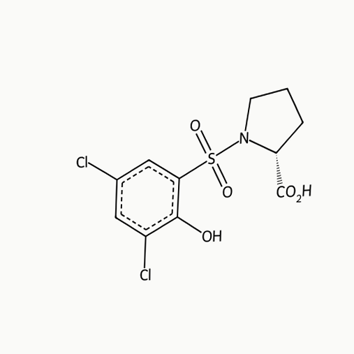 O=C(O)[C@H]1CCCN1S(=O)(=O)c1cc(Cl)cc(Cl)c1O